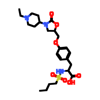 CCCCS(=O)(=O)NC(Cc1ccc(OCC2CN(C3CCN(CC)CC3)C(=O)O2)cc1)C(=O)O